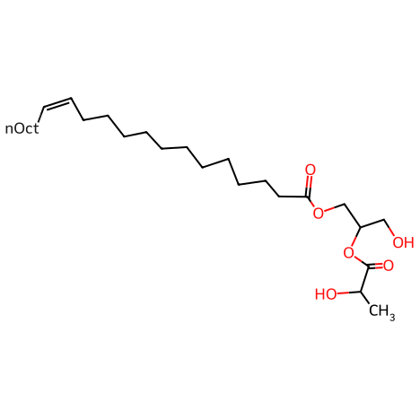 CCCCCCCC/C=C\CCCCCCCCCCCC(=O)OCC(CO)OC(=O)C(C)O